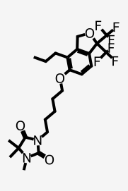 CCCc1c(OCCCCCN2C(=O)N(C)C(C)(C)C2=O)ccc2c1COC2(C(F)(F)F)C(F)(F)F